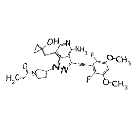 C=CC(=O)N1CCC(n2nc(C#Cc3c(F)c(OC)cc(OC)c3F)c3c(N)ncc(CC4(O)CC4)c32)C1